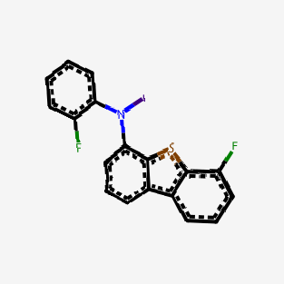 Fc1ccccc1N(I)c1cccc2c1sc1c(F)cccc12